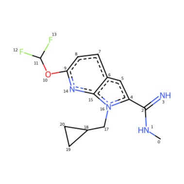 CNC(=N)c1cc2ccc(OC(F)F)nc2n1CC1CC1